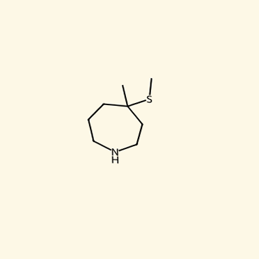 CSC1(C)CCCNCC1